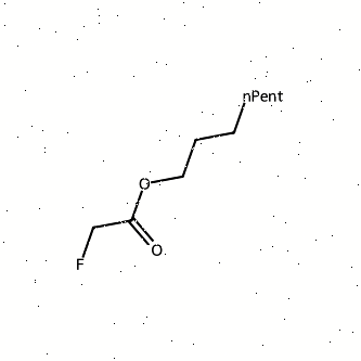 CCCCCCCCOC(=O)CF